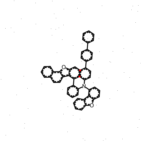 c1ccc(-c2ccc(-c3ccc(N(c4ccccc4-c4cccc5oc6c7ccccc7ccc6c45)c4cccc5oc6ccccc6c45)cc3)cc2)cc1